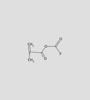 C=C(C)C(=O)OC(=O)F